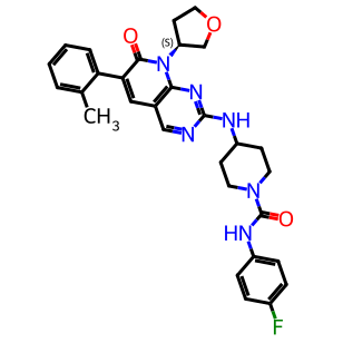 Cc1ccccc1-c1cc2cnc(NC3CCN(C(=O)Nc4ccc(F)cc4)CC3)nc2n([C@H]2CCOC2)c1=O